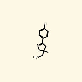 CC1(CN)CC(c2ccc(Cl)cc2)=NO1